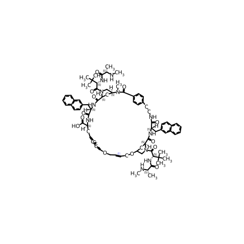 CN[C@@H](C)C(=O)N[C@H](C(=O)N1CC2C[C@H]1C(=O)N[C@@H](Cc1ccc3ccccc3c1)C(=O)NCCc1ccc(cc1)C(=O)N(C)[C@H]1C[C@@H](C(=O)N[C@@H](Cc3ccc4ccccc4c3)C(=O)N[C@H](C(=O)O)Cc3ccc(cc3)OC/C=C/CO2)N(C(=O)[C@@H](NC(=O)[C@H](C)NC)C(C)(C)C)C1)C(C)(C)C